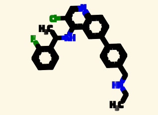 CCNCc1ccc(-c2ccc3ncc(Cl)c(NC(C)c4ccccc4F)c3c2)cc1